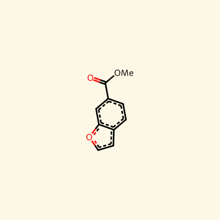 COC(=O)c1ccc2ccoc2c1